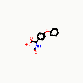 O=CNC(C(=O)O)c1ccc(Oc2ccccc2)cc1